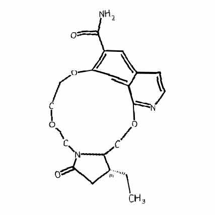 CC[C@@H]1CC(=O)N2COCCOc3cc4c(nccc4cc3C(N)=O)OCC12